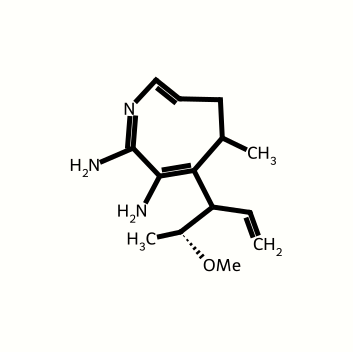 C=CC(/C1=C(N)/C(N)=N\C=C\CC1C)[C@@H](C)OC